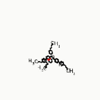 CCCCC[C@H]1CC[C@H](C(OC(c2ccc(-c3ccc(CCCC)cn3)cc2)[C@H]2CC[C@H](CCCCC)CC2)c2ccc(-c3ccc(CCCC)cn3)cc2)CC1